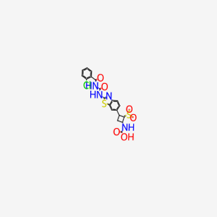 O=C(O)NC1CC(c2ccc3nc(NC(=O)NC(=O)c4ccccc4Cl)sc3c2)C1=S(=O)=O